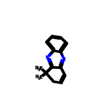 CC1(C)CC=Cc2nc3ccccc3nc21